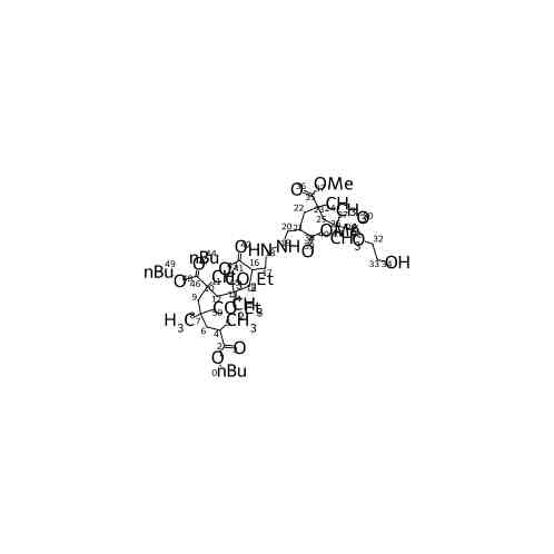 CCCCOC(=O)C(C)CC(C)(CC(C)(CC(C)(CC(CNNCC(CC(C)(CC(C)(C)C(=O)OCCO)C(=O)OC)C(=O)OC)C(=O)OCCCC)C(=O)OCC)C(=O)OCCCC)C(=O)OCC